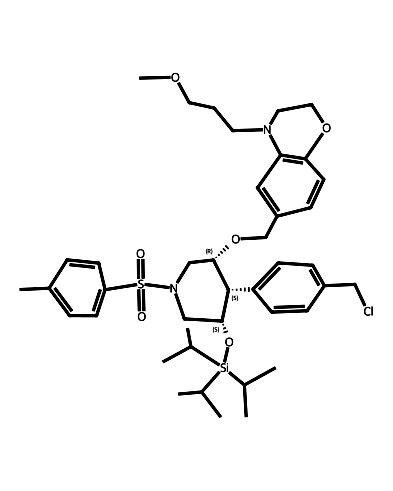 COCCCN1CCOc2ccc(CO[C@H]3CN(S(=O)(=O)c4ccc(C)cc4)C[C@@H](O[Si](C(C)C)(C(C)C)C(C)C)[C@H]3c3ccc(CCl)cc3)cc21